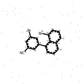 N#Cc1cc(Br)cc(-c2cccc3cccc(Br)c23)c1